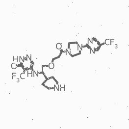 O=C(CCOC[C@H](Nc1cn[nH]c(=O)c1C(F)(F)F)C1CCNCC1)N1CCN(c2ncc(C(F)(F)F)cn2)CC1